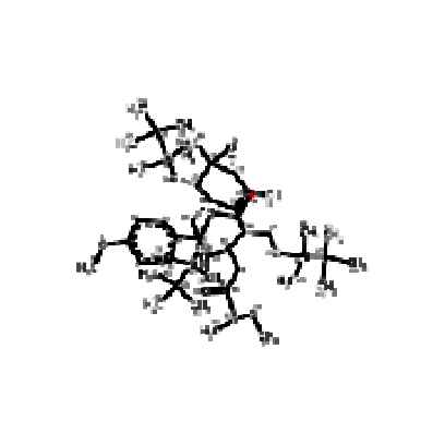 COc1ccc(COC[C@H](C)[C@H]2OC2(C)[C@@H](O[Si](C)(C)C(C)(C)C)[C@@H](CO[Si](C)(C)C(C)(C)C)C(=O)[C@@H](CO[Si](C)(C)C(C)(C)C)[C@H](O)CC(=O)N(C)OC)cc1